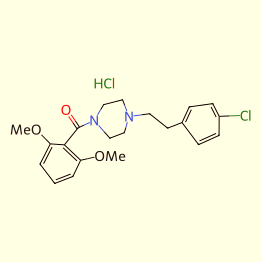 COc1cccc(OC)c1C(=O)N1CCN(CCc2ccc(Cl)cc2)CC1.Cl